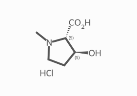 CN1CC[C@H](O)[C@H]1C(=O)O.Cl